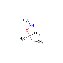 [CH2]NOC(C)(C)CC